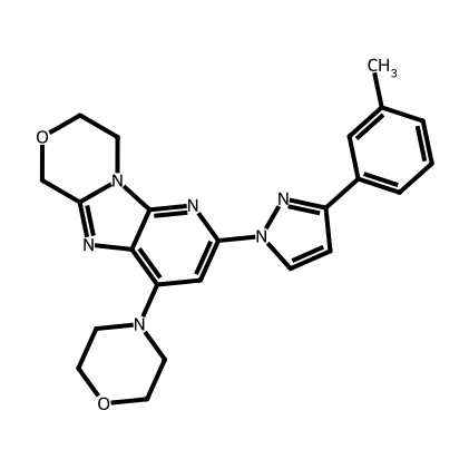 Cc1cccc(-c2ccn(-c3cc(N4CCOCC4)c4nc5n(c4n3)CCOC5)n2)c1